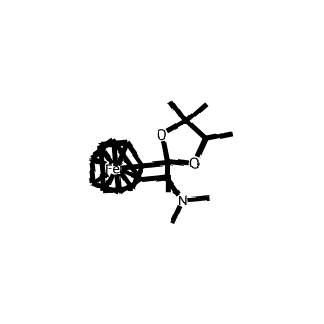 CC1OC(C)([C]23[CH]4[CH]5[CH]6[CH]2[Fe]56432789[CH]3[CH]2[CH]7[C]8(CN(C)C)[CH]39)OC1(C)C